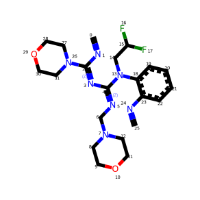 C=N/C(=N\C(=N/CN1CCOCC1)N(CC(F)F)c1ccccc1N=C)N1CCOCC1